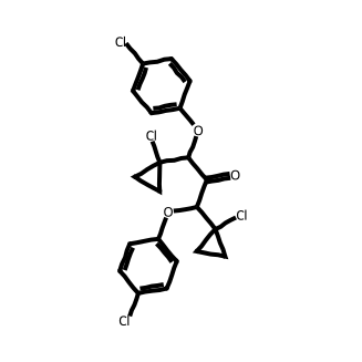 O=C(C(Oc1ccc(Cl)cc1)C1(Cl)CC1)C(Oc1ccc(Cl)cc1)C1(Cl)CC1